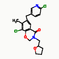 Cc1c(Cc2ccc(Cl)nc2)cc2c(c1Cl)OCN(CC1CCCO1)C2=O